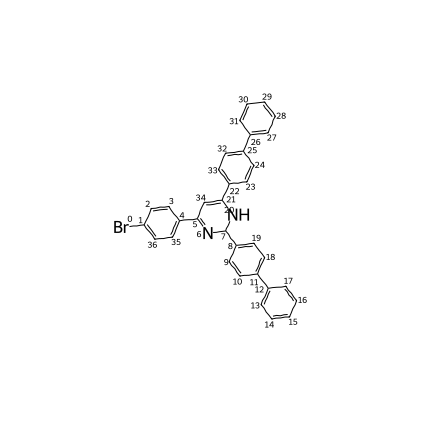 Brc1ccc(C2=NC(c3ccc(-c4ccccc4)cc3)NC(c3ccc(-c4ccccc4)cc3)=C2)cc1